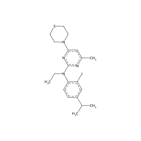 CCN(c1nc(C)cc(N2CCSCC2)n1)c1ccc(C(C)C)cc1I